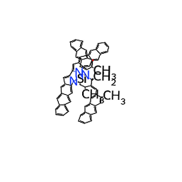 C=C1/C(=C/c2cc3cc4ccccc4cc3cc2C)C(C)C[Si]2(N1c1cc3cc4ccccc4cc3cc1C)n1c(cc3cc4cc5ccccc5cc4cc31)-c1cc3cc4cc5ccccc5cc4cc3n12